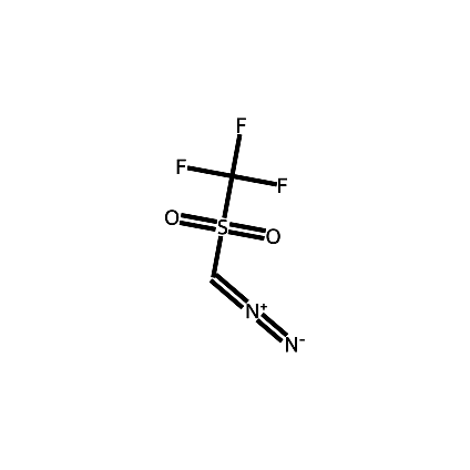 [N-]=[N+]=CS(=O)(=O)C(F)(F)F